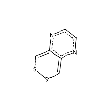 C1=c2nccnc2=CSS1